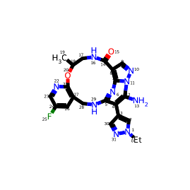 CCn1cc(-c2c3nc4c(cnn4c2N)C(=O)NCC(C)Oc2ncc(F)cc2CN3)cn1